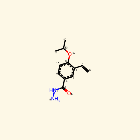 C=Cc1cc(C(=O)NN)ccc1OC(C)C